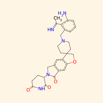 CC(=N)c1c(N)cccc1CN1CCC2(CC1)COc1cc3c(cc12)CN(C1CCC(=O)NC1=O)C3=O